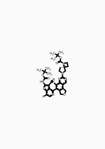 CC(C)(C)OC(=O)Nc1sc2c(F)cnc(-c3c4c(c5cnc(N6CC[C@]7(CCN7C(=O)OC(C)(C)C)C6)nc5c3F)COC4)c2c1C#N